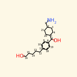 NCC1CCC(C(O)c2ccc(CCCCCO)cc2)CC1